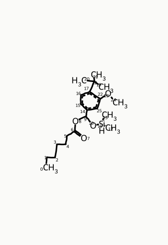 CCCCCCC(=O)OC(O[SiH](C)C)c1ccc(C(C)(C)C)c(OC)c1